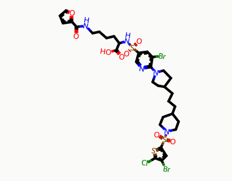 O=C(NCCCCC(NS(=O)(=O)c1cnc(N2CCC(CCCC3CCN(S(=O)(=O)c4cc(Br)c(Cl)s4)CC3)CC2)c(Br)c1)C(=O)O)c1ccco1